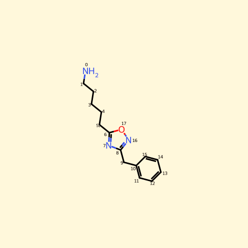 NCCCC[CH]c1nc(Cc2ccccc2)no1